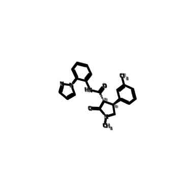 CN1C[C@H](c2cccc(C(F)(F)F)c2)[C@@H](C(=O)Nc2ccccc2-n2cccn2)C1=O